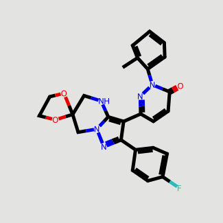 Cc1ccccc1-n1nc(-c2c(-c3ccc(F)cc3)nn3c2NCC2(C3)OCCO2)ccc1=O